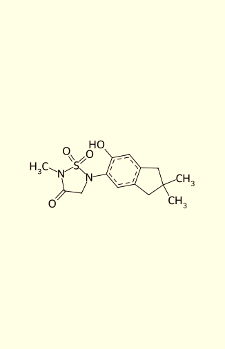 CN1C(=O)CN(c2cc3c(cc2O)CC(C)(C)C3)S1(=O)=O